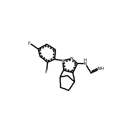 N=CNc1nn(-c2ccc(F)cc2F)c2c1C1CCC2C1